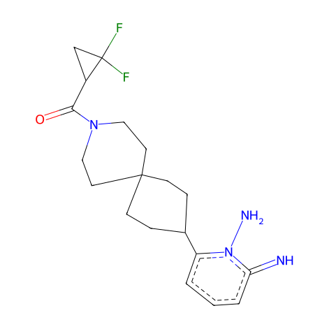 N=c1cccc(C2CCC3(CC2)CCN(C(=O)C2CC2(F)F)CC3)n1N